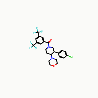 O=C(c1cc(C(F)(F)F)cc(C(F)(F)F)c1)N1CCC(N2CCOCC2)C(c2ccc(Cl)cc2)C1